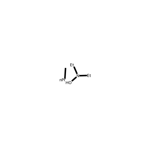 CCCC.CCN(O)CC